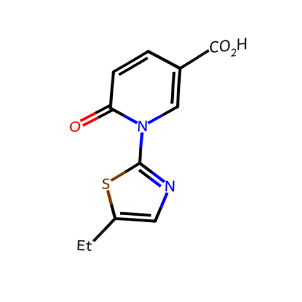 CCc1cnc(-n2cc(C(=O)O)ccc2=O)s1